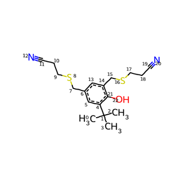 CC(C)(C)c1cc(CSCCC#N)cc(CSCCC#N)c1O